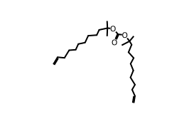 C=CCCCCCCCCC(C)(C)OC(=O)OC(C)(C)CCCCCCCCC=C